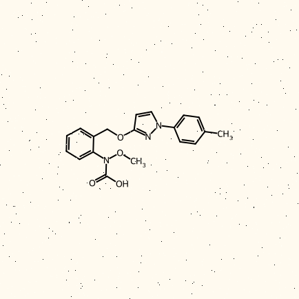 CON(C(=O)O)c1ccccc1COc1ccn(-c2ccc(C)cc2)n1